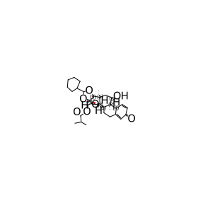 CC(C)C(=O)OCC(=O)[C@@]12OC(C3CCCCC3)O[C@H]1C[C@@H]1[C@@H]3CCC4=CC(=O)C=C[C@]4(C)[C@@H]3[C@@H](O)C[C@@]12C